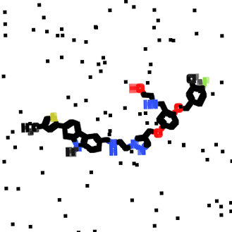 CCn1c2ccc(CNCCn3cc(COc4ccc(OCc5ccc(F)c(C(F)(F)F)c5)c(CNCCO)c4)cn3)cc2c2ccc(-c3cc(C)cs3)cc21